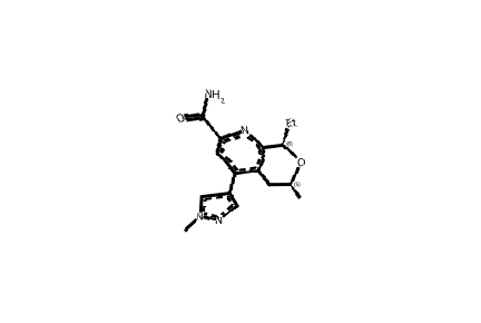 CC[C@H]1O[C@@H](C)Cc2c(-c3cnn(C)c3)cc(C(N)=O)nc21